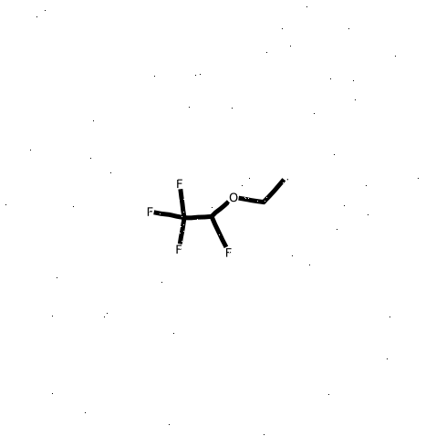 [CH2]COC(F)C(F)(F)F